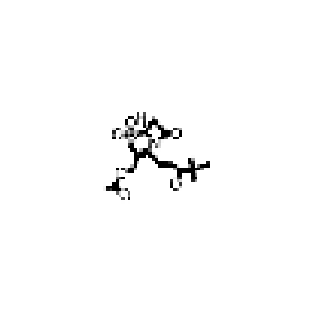 CC(=O)OCC1=C(CCC(=O)C(C)(C)C)N2C(=O)C[C@@H]2S(=O)(=O)C1